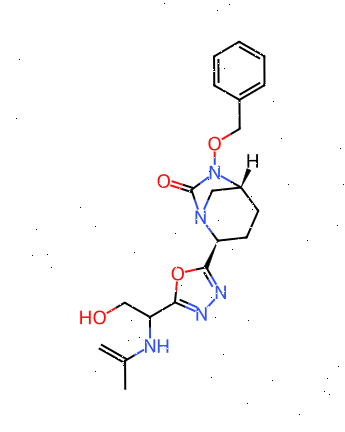 C=C(C)NC(CO)c1nnc([C@@H]2CC[C@@H]3CN2C(=O)N3OCc2ccccc2)o1